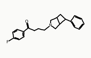 O=C(CCCN1CC2CC(c3ccccc3)C2C1)c1ccc(F)cc1